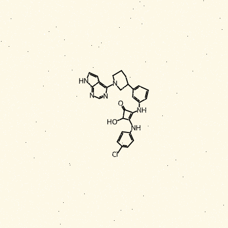 O=C1C(Nc2cccc(C3CCCN(c4ncnc5[nH]ccc45)C3)c2)=C(Nc2ccc(Cl)cc2)C1O